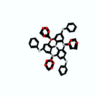 c1ccc(Oc2cc(Oc3ccccc3)c(P(c3c(Oc4ccccc4)cc(Oc4ccccc4)cc3Oc3ccccc3)c3c(Oc4ccccc4)cc(Oc4ccccc4)cc3Oc3ccccc3)c(Oc3ccccc3)c2)cc1